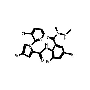 CNN(C)C(=O)c1cc(Br)cc(Br)c1NC(=O)c1cc(Br)cn1-c1ncccc1Cl